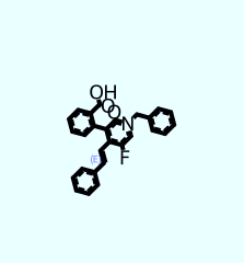 O=C(O)c1ccccc1-c1c(/C=C/c2ccccc2)c(F)cn(Cc2ccccc2)c1=O